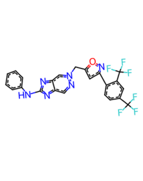 FC(F)(F)c1ccc(-c2cc(Cn3cc4nc(Nc5ccccc5)nc-4cn3)on2)c(C(F)(F)F)c1